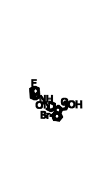 O=C(O)CC1CC2(CCN(C(=O)NC3C4CC5CC3CC(F)(C5)C4)CC2)c2c(Br)cccc21